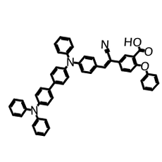 N#C/C(=C\c1ccc(N(c2ccccc2)c2ccc(-c3ccc(N(c4ccccc4)c4ccccc4)cc3)cc2)cc1)c1ccc(Oc2ccccc2)c(C(=O)O)c1